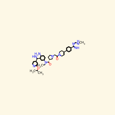 CCN(C(=O)[C@@H]1CCN(CC(=O)N2CC=C(c3ccc(C(=N)/N=C\NC)cc3)CC2)C1)c1ccc(N)c(C(=N)c2ccnc(OC(C)C)c2)c1